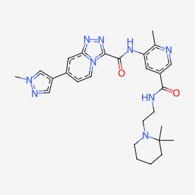 Cc1ncc(C(=O)NCCN2CCCCC2(C)C)cc1NC(=O)c1nnc2cc(-c3cnn(C)c3)ccn12